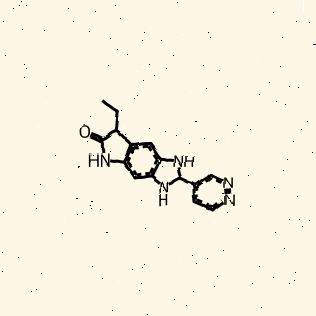 CCC1C(=O)Nc2cc3c(cc21)NC(c1ccnnc1)N3